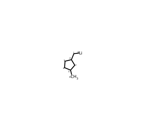 [Li][CH2]C1CCC(C)C1